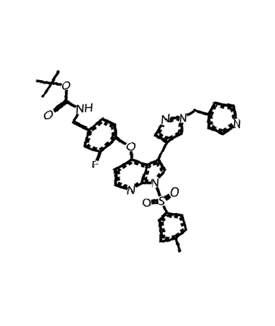 Cc1ccc(S(=O)(=O)n2cc(-c3cnn(Cc4ccncc4)c3)c3c(Oc4ccc(CNC(=O)OC(C)(C)C)cc4F)ccnc32)cc1